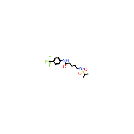 CC(C)S(=O)(=O)NCCCCC(=O)Nc1ccc(C(F)(F)F)cc1